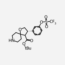 CC(C)(C)OC(=O)C1[C@@H](c2cccc(OS(=O)(=O)C(F)(F)F)c2)COC12CCNCC2